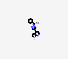 CCC[C@@H](c1ccccc1)n1cc(-c2ccnc3[nH]ccc23)cn1